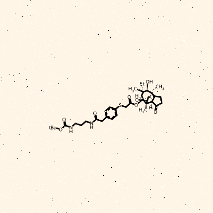 CC[C@@]1(C)CC(OC(=O)CSc2ccc(CC(=O)NCCCNC(=O)OC(C)(C)C)cc2)[C@]2(C)[C@H](C)CC[C@]3(CCC(=O)[C@H]32)[C@@H](C)[C@@H]1O